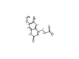 CCC(=O)OCc1cc(=O)oc2cc(OC(C)C)c(Br)cc12